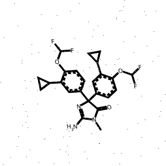 CN1C(=O)C(c2ccc(OC(F)F)c(C3CC3)c2)(c2ccc(OC(F)F)c(C3CC3)c2)N=C1N